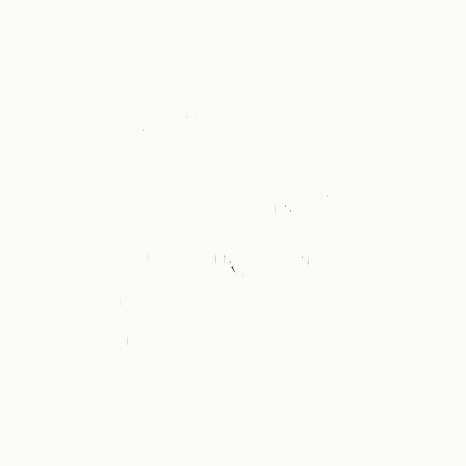 CC(Oc1ccc(CNC(=O)C2SCCN2C(=O)C[C@H](N)Cc2cc(F)c(F)cc2F)cc1)C(=O)O.Cl